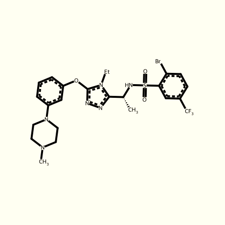 CCn1c(Oc2cccc(N3CCN(C)CC3)c2)nnc1[C@@H](C)NS(=O)(=O)c1cc(C(F)(F)F)ccc1Br